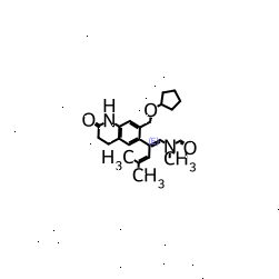 CC(C)=C/C(=C\N(C)C=O)c1cc2c(cc1COC1CCCC1)NC(=O)CC2